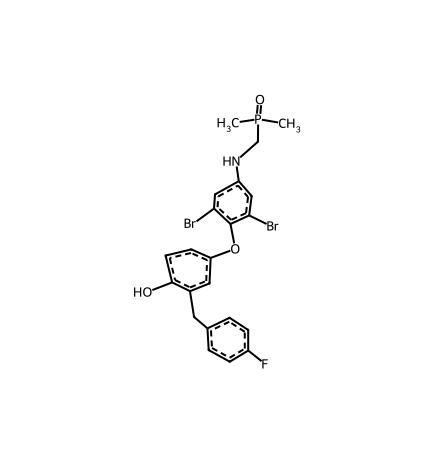 CP(C)(=O)CNc1cc(Br)c(Oc2ccc(O)c(Cc3ccc(F)cc3)c2)c(Br)c1